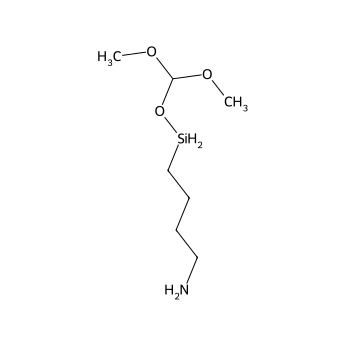 COC(OC)O[SiH2]CCCCN